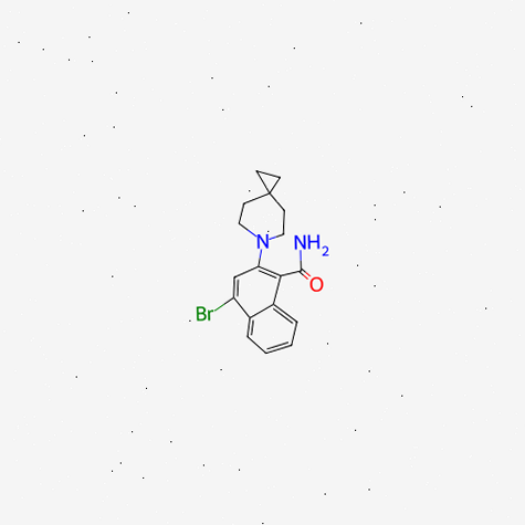 NC(=O)c1c(N2CCC3(CC2)CC3)cc(Br)c2ccccc12